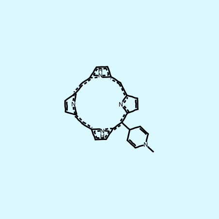 CN1C=CC(c2c3nc(cc4ccc(cc5nc(cc6ccc2[nH]6)C=C5)[nH]4)C=C3)C=C1